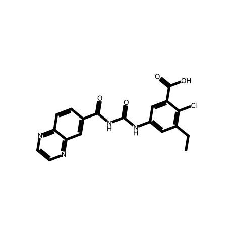 CCc1cc(NC(=O)NC(=O)c2ccc3nccnc3c2)cc(C(=O)O)c1Cl